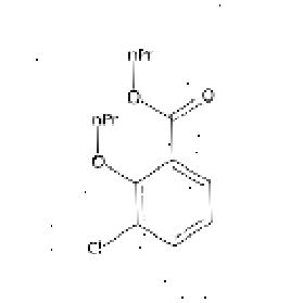 CCCOC(=O)c1cccc(Cl)c1OCCC